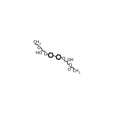 C=CC(=O)OCC(O)COc1ccc(-c2ccc(OCC(O)COCCC)cc2)cc1